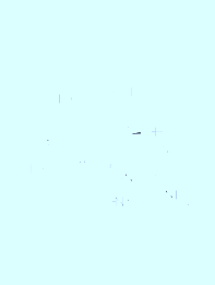 NC(=O)N(N=O)[C@@H]1OC(CO)[C@H](O)[C@H](O)[C@H]1O